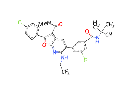 CNC(=O)c1c(-c2ccc(F)cc2)oc2nc(NCC(F)(F)F)c(-c3cc(F)cc(C(=O)NC(C)(C)C#N)c3)cc12